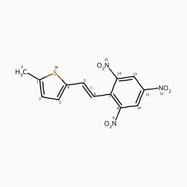 Cc1ccc(/C=C/c2c([N+](=O)[O-])cc([N+](=O)[O-])cc2[N+](=O)[O-])s1